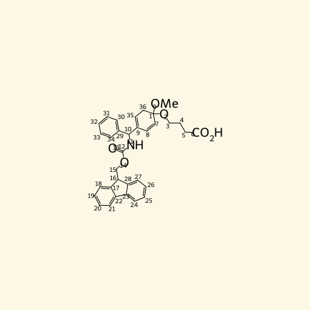 COC1(OCCCC(=O)O)C=CC(C(NC(=O)OCC2c3ccccc3-c3ccccc32)c2ccccc2)=CC1